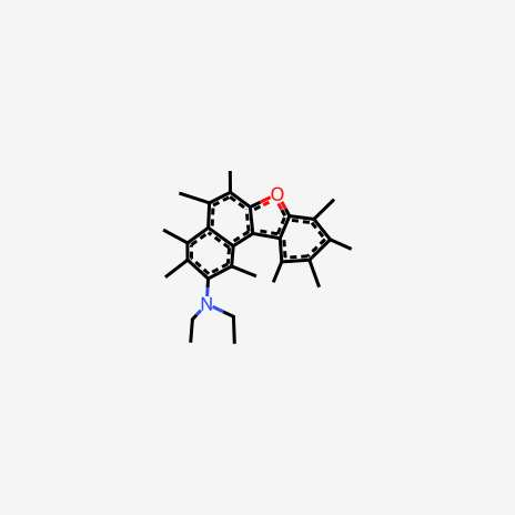 CCN(CC)c1c(C)c(C)c2c(C)c(C)c3oc4c(C)c(C)c(C)c(C)c4c3c2c1C